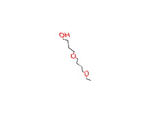 CCOCCCCOCCCCO